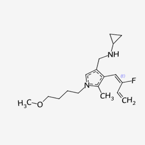 C=C/C(F)=C\c1c(CNC2CC2)cn(CCCCOC)c1C